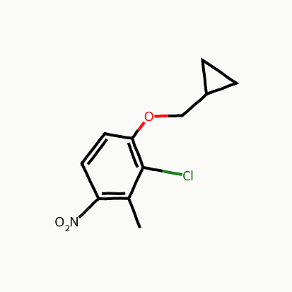 Cc1c([N+](=O)[O-])ccc(OCC2CC2)c1Cl